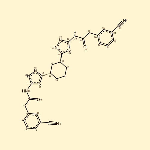 N#Cc1cccc(CC(=O)Nc2nnc([C@H]3CCC[C@H](c4nnc(NC(=O)Cc5cccc(C#N)c5)s4)C3)s2)c1